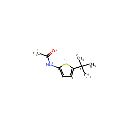 CC(=O)Nc1ccc(C(C)(C)C)s1